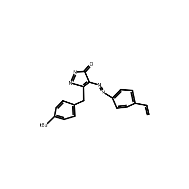 C=Cc1ccc(N=NC2=C(Cc3ccc(C(C)(C)C)cc3)N=NC2=O)cc1